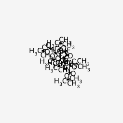 CC(C)(C)OC(=O)N(C[Si](C)(OC(F)(F)C(=O)C(F)(F)O[Si](C)(CN(C(=O)OC(C)(C)C)C(=O)OC(C)(C)C)C(C)(C)C)C(C)(C)C)C(=O)OC(C)(C)C